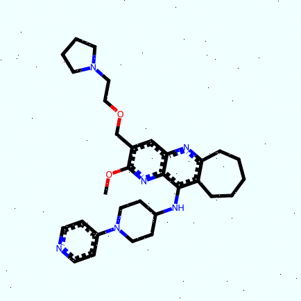 COc1nc2c(NC3CCN(c4ccncc4)CC3)c3c(nc2cc1COCCN1CCCC1)CCCCC3